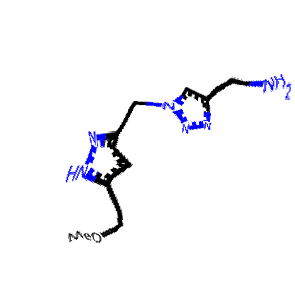 COCc1cc(Cn2cc(CN)nn2)n[nH]1